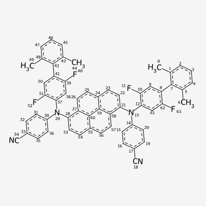 Cc1cccc(C)c1-c1cc(F)c(N(c2ccc(C#N)cc2)c2ccc3ccc4c(N(c5ccc(C#N)cc5)c5cc(F)c(-c6c(C)cccc6C)cc5F)ccc5ccc2c3c54)cc1F